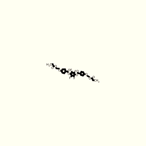 C=CC(=O)OCCOc1ccc(C(=O)Oc2c(F)c(F)c(OC(=O)c3ccc(OCCOC(=O)C=C)cc3)c(F)c2F)cc1